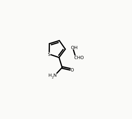 NC(=O)c1cccs1.O=CO